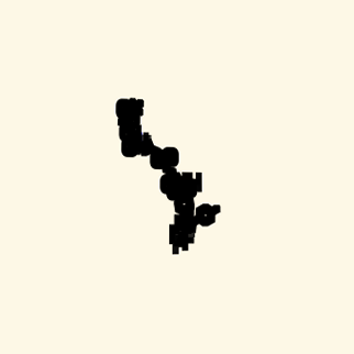 Cc1ccc(-c2cc(C(F)(F)F)nn2-c2ccc(S(=O)(=O)NC(=O)CCC(=O)OCC3CN(/[N+]([O-])=N/OC(C)OC(=O)C(C)(C)C)C3)cc2)cc1